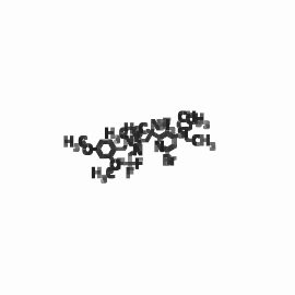 CC[Si](CC)(CC)c1cc(Br)nc([C@@](C)(N)CS(=O)(=NCC(F)(F)F)N(C)Cc2ccc(OC)cc2OC)c1F